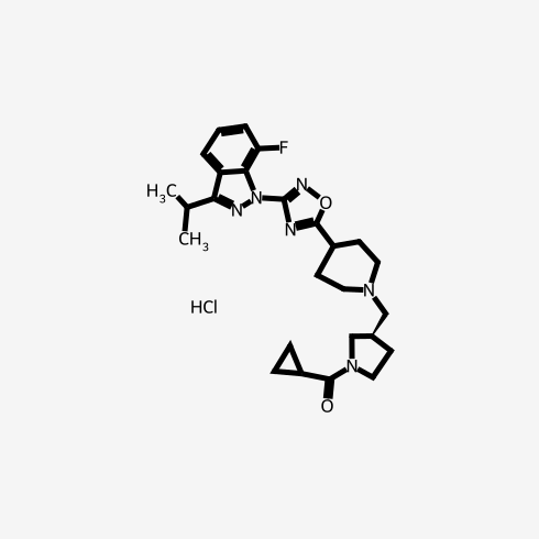 CC(C)c1nn(-c2noc(C3CCN(C[C@H]4CCN(C(=O)C5CC5)C4)CC3)n2)c2c(F)cccc12.Cl